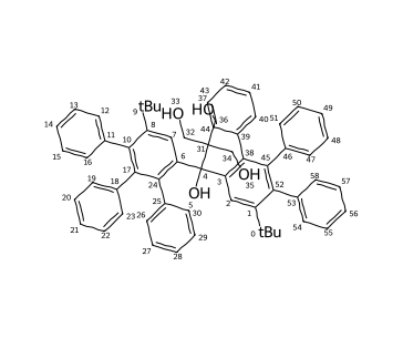 CC(C)(C)c1cc(C(O)(c2cc(C(C)(C)C)c(-c3ccccc3)c(-c3ccccc3)c2-c2ccccc2)C(CO)(CO)CO)c(-c2ccccc2)c(-c2ccccc2)c1-c1ccccc1